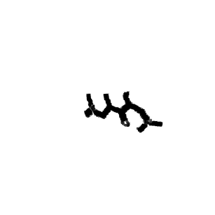 CC(CN(C)C)C(=O)C(C)CN(C)C